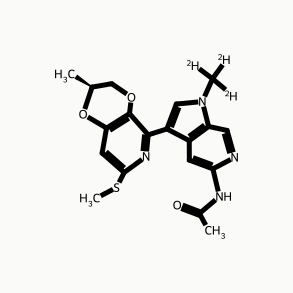 [2H]C([2H])([2H])n1cc(-c2nc(SC)cc3c2OC[C@H](C)O3)c2cc(NC(C)=O)ncc21